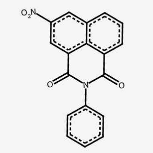 O=C1c2cccc3cc([N+](=O)[O-])cc(c23)C(=O)N1c1ccccc1